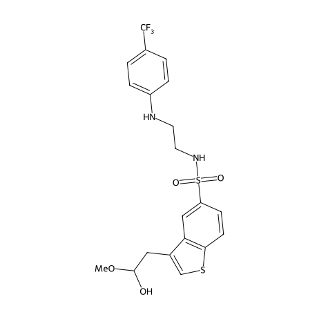 COC(O)Cc1csc2ccc(S(=O)(=O)NCCNc3ccc(C(F)(F)F)cc3)cc12